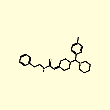 Cc1ccc(C(C2CCC(=CC(=O)NCCc3ccccc3)CC2)N2CCCCC2)cc1